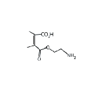 CC(C(=O)O)=C(C)C(=O)OCCN